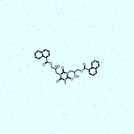 Cn1c(=O)n(CC(O)COC(=O)c2cccc3ccccc23)c(=O)n(CC(O)COC(=O)c2cccc3ccccc23)c1=O